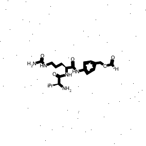 [2H]C(=O)OCc1ccc(NC(=O)[C@H](CCCNC(N)=O)NC(=O)[C@@H](N)C(C)C)cc1